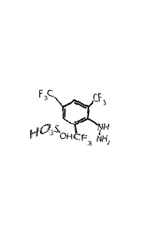 NNc1c(C(F)(F)F)cc(C(F)(F)F)cc1C(F)(F)F.O=S(=O)(O)O